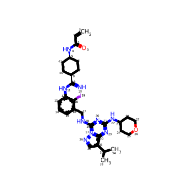 C=CC(=O)N[C@H]1CC[C@@H](C(=N)Nc2cccc(CNc3nc(NC4CCOCC4)nc4c(C(C)C)cnn34)c2I)CC1